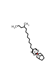 CCCC(C)CCCCCCCCc1cnc(N2C3CCC2CN(C)C3)nc1